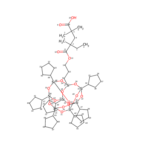 CCC(C)(CC(C)(C)C(=O)O)C(=O)OCCC[Si]12O[Si]3(C4CCCC4)O[Si]4(C5CCCC5)O[Si](C5CCCC5)(O1)O[Si]1(C5CCCC5)O[Si](C5CCCC5)(O2)O[Si](C2CCCC2)(O3)O[Si](C2CCCC2)(O4)O1